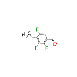 CCc1c(F)cc(C=O)c(F)c1F